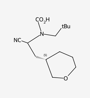 CC(C)(C)CN(C(=O)O)C(C#N)C[C@@H]1CCCOC1